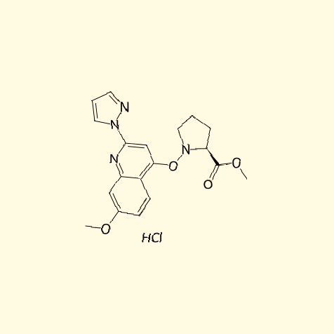 COC(=O)[C@@H]1CCCN1Oc1cc(-n2cccn2)nc2cc(OC)ccc12.Cl